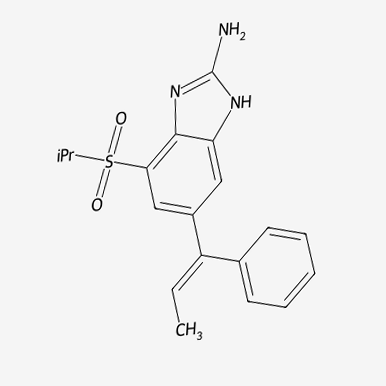 CC=C(c1ccccc1)c1cc(S(=O)(=O)C(C)C)c2nc(N)[nH]c2c1